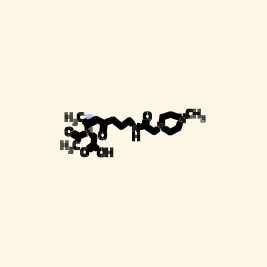 CC(=O)N(CC(=O)O)/C(C)=C\C(=O)CCCNC(=O)CN1CCN(C)CC1